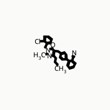 CCCCc1nc(C)n(Cc2ccccc2Cl)c(=O)c1Cc1ccc(-c2ccccc2C#N)cc1